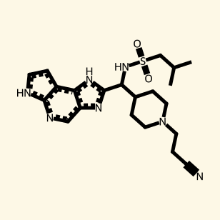 CC(C)CS(=O)(=O)NC(c1nc2cnc3[nH]ccc3c2[nH]1)C1CCN(CCC#N)CC1